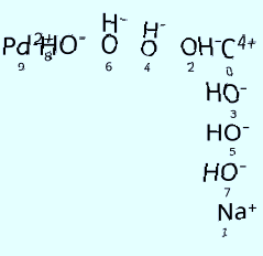 [C+4].[Na+].[OH-].[OH-].[OH-].[OH-].[OH-].[OH-].[OH-].[Pd+2]